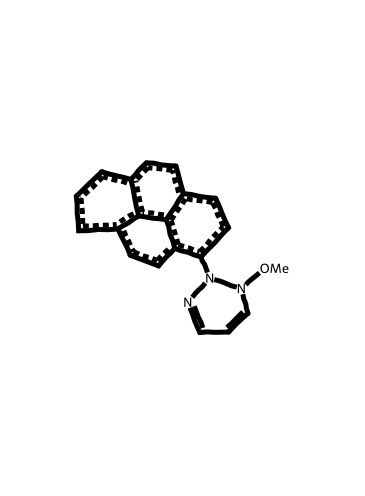 CON1C=CC=NN1c1ccc2ccc3cccc4ccc1c2c34